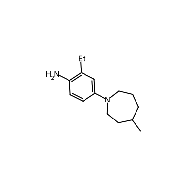 CCc1cc(N2CCCC(C)CC2)ccc1N